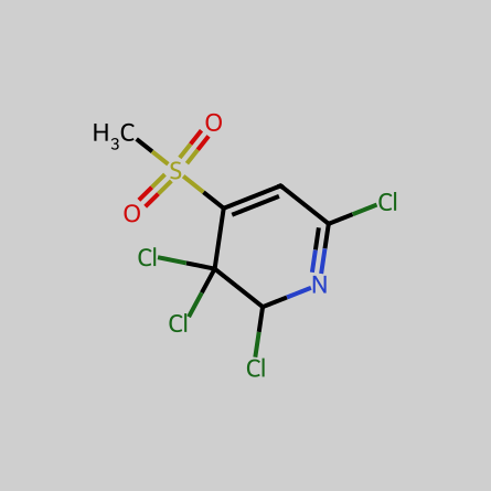 CS(=O)(=O)C1=CC(Cl)=NC(Cl)C1(Cl)Cl